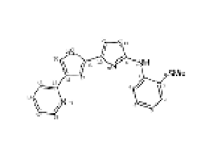 CSc1ccccc1Nc1nc(-c2cc(-c3ccccn3)cs2)cs1